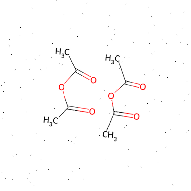 CC(=O)OC(C)=O.CC(=O)OC(C)=O